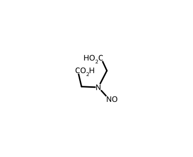 O=NN(CC(=O)O)CC(=O)O